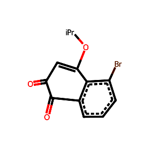 CC(C)OC1=CC(=O)C(=O)c2cccc(Br)c21